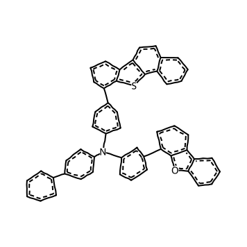 c1ccc(-c2ccc(N(c3ccc(-c4cccc5c4sc4c6ccccc6ccc54)cc3)c3cccc(-c4cccc5c4oc4ccccc45)c3)cc2)cc1